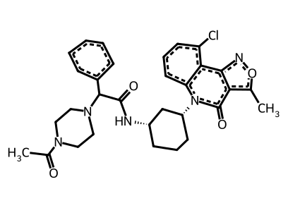 CC(=O)N1CCN(C(C(=O)N[C@H]2CCC[C@@H](n3c(=O)c4c(C)onc4c4c(Cl)cccc43)C2)c2ccccc2)CC1